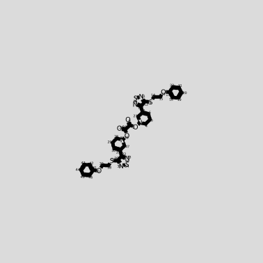 O=C(ON1CCC=C(c2nsnc2SCCOc2ccccc2)C1)C(=O)ON1CCC=C(c2nsnc2SCCOc2ccccc2)C1